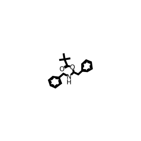 CC(C)(C)C(=O)OC(Cc1ccccc1)NCc1ccccc1